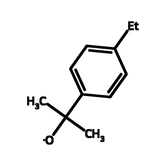 CCc1ccc(C(C)(C)[O])cc1